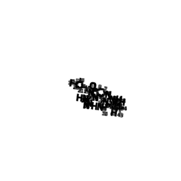 C[C@H]1[C@@H](NC(=Nc2ccc3c(=O)n(CCc4ccc(F)cc4)c(-c4nnc[nH]4)nc3c2)N2CCN[C@@H](C)C2)C[C@@H]2C[C@@H]1C2(C)C